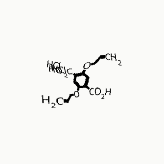 C=CCOc1cc(C(=O)O)c(OCC=C)cc1C(=O)O.Cl.Cl